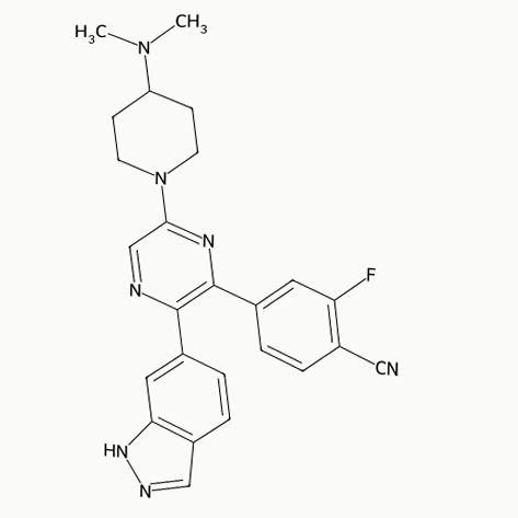 CN(C)C1CCN(c2cnc(-c3ccc4cn[nH]c4c3)c(-c3ccc(C#N)c(F)c3)n2)CC1